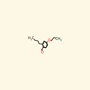 CCCCc1cc(OCCC)ccc1C=O